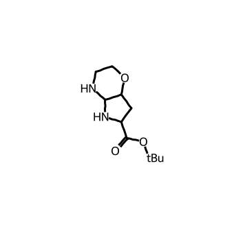 CC(C)(C)OC(=O)C1CC2OCCNC2N1